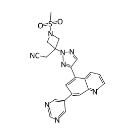 CS(=O)(=O)N1CC(CC#N)(n2ncc(-c3cc(-c4cncnc4)cc4ncccc34)n2)C1